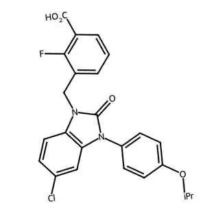 CC(C)Oc1ccc(-n2c(=O)n(Cc3cccc(C(=O)O)c3F)c3ccc(Cl)cc32)cc1